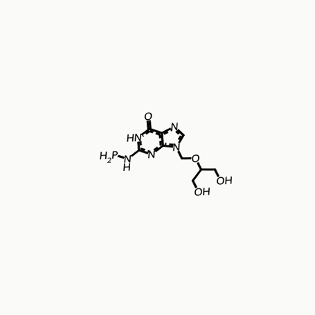 O=c1[nH]c(NP)nc2c1ncn2COC(CO)CO